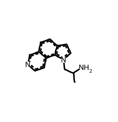 CC(N)Cn1ccc2ccc3cnccc3c21